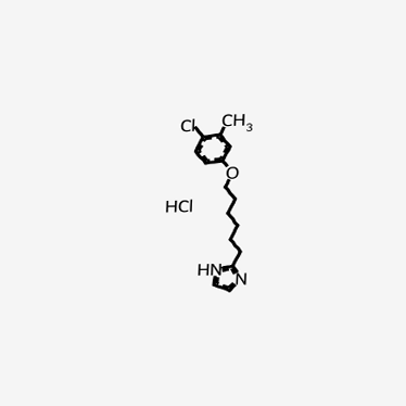 Cc1cc(OCCCCCCc2ncc[nH]2)ccc1Cl.Cl